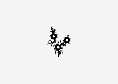 COC(=O)C(Oc1ccc(C(F)(F)F)cc1-c1nc2ccccc2o1)c1ccc(C(F)(F)F)cc1